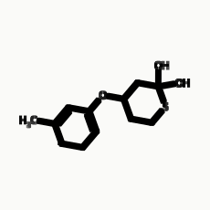 CC1=CC(OC2CCSC(O)(O)C2)=CC[CH]1